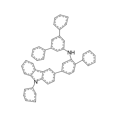 c1ccc(-c2cc(Nc3cc(-c4ccc5c(c4)c4ccccc4n5-c4ccccc4)ccc3-c3ccccc3)cc(-c3ccccc3)c2)cc1